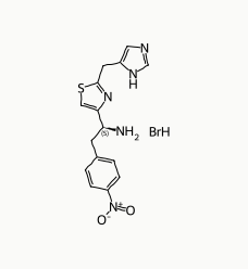 Br.N[C@@H](Cc1ccc([N+](=O)[O-])cc1)c1csc(Cc2cnc[nH]2)n1